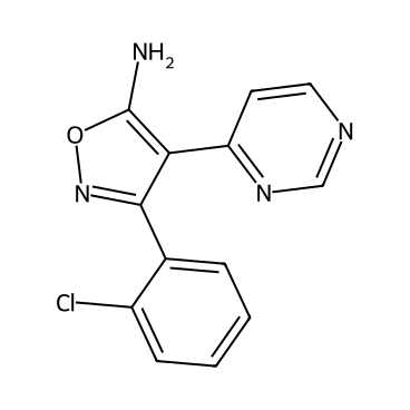 Nc1onc(-c2ccccc2Cl)c1-c1ccncn1